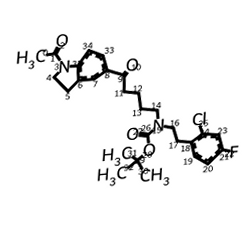 CC(=O)N1CCc2cc(C(=O)CCCCN(CCc3ccc(F)cc3Cl)C(=O)OC(C)(C)C)ccc21